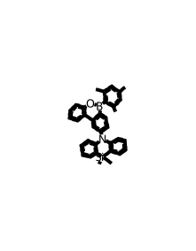 Cc1cc(C)c(B2Oc3ccccc3-c3cc(N4c5ccccc5[Si](C)(C)c5ccccc54)ccc32)c(C)c1